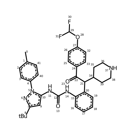 Cc1ccc(-n2nc(C(C)(C)C)cc2NC(=O)Nc2ccccc2C(C(=O)c2ccc(OC(F)F)cc2)C2CCNCC2)cc1